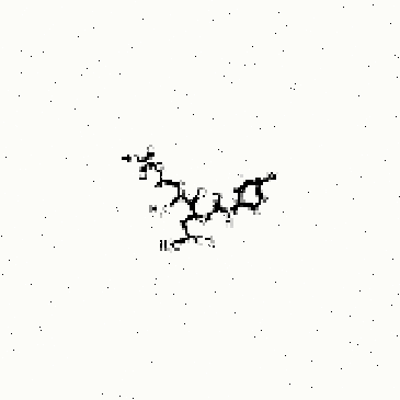 CC(C)CC(OC(=O)Nc1ccc(Br)cc1)C(=O)N(C)CCOS(=O)(=O)O